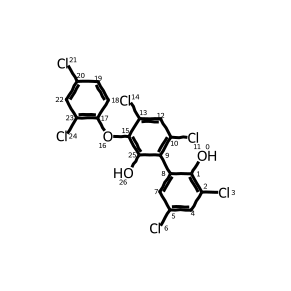 Oc1c(Cl)cc(Cl)cc1-c1c(Cl)cc(Cl)c(Oc2ccc(Cl)cc2Cl)c1O